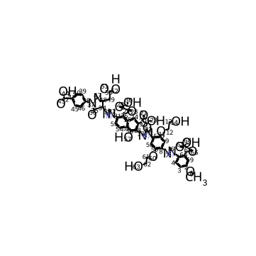 COc1ccc(/N=N/c2cc(OCCO)c(/N=N/c3c(S(=O)(=O)O)cc4c(S(=O)(=O)O)c(/N=N/C5C(=O)N(c6ccc(C(=O)O)cc6)N=C5CC(=O)O)ccc4c3O)cc2OCCO)c(S(=O)(=O)O)c1